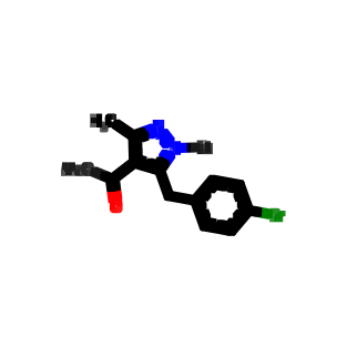 CCn1nc(C)c(C(=O)OC)c1Cc1ccc(Br)cc1